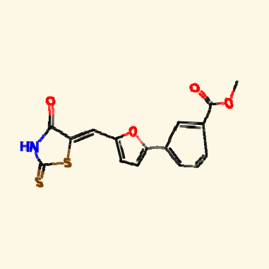 COC(=O)c1cccc(-c2ccc(/C=C3\SC(=S)NC3=O)o2)c1